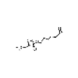 C=C(CC)C(=O)OCCCCCC1CO1